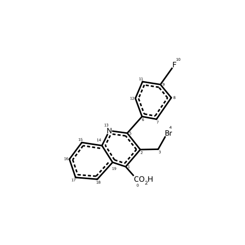 O=C(O)c1c(CBr)c(-c2ccc(F)cc2)nc2ccccc12